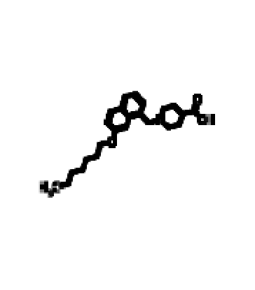 CCCCCCCOc1ccc2cccc(CN3CCC(C(=O)O)CC3)c2c1